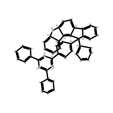 c1ccc(-c2nc(-c3ccccc3)nc(-c3ccc(C4(c5ccccc5)c5ccccc5-c5ccc6sc7ccccc7c6c54)cc3)n2)cc1